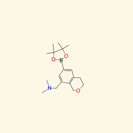 CN(C)Cc1cc(B2OC(C)(C)C(C)(C)O2)cc2c1COCC2